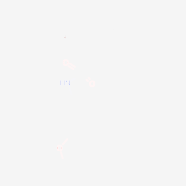 O=S(=O)(Nc1ccc2c(c1)OC=CC2)c1ccc(F)cc1Br